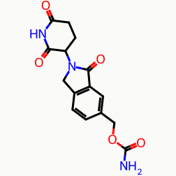 NC(=O)OCc1ccc2c(c1)C(=O)N(C1CCC(=O)NC1=O)C2